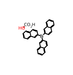 O=C(O)O.c1ccc2c[c]([Bi]([c]3ccc4ccccc4c3)[c]3ccc4ccccc4c3)ccc2c1